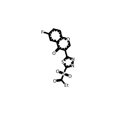 CCC(=O)S(=O)(=O)c1nnc(-c2coc3ccc(F)cc3c2=O)s1